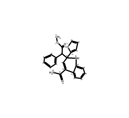 COC(=O)C(c1ccccc1)C1(c2ccco2)C=C(C(N)=O)c2ccccc2N1